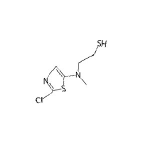 CN(CCS)c1cnc(Cl)s1